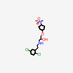 CN(c1ccc(OCC(O)CNCCc2cc(Cl)ccc2Cl)cc1)S(C)(=O)=O